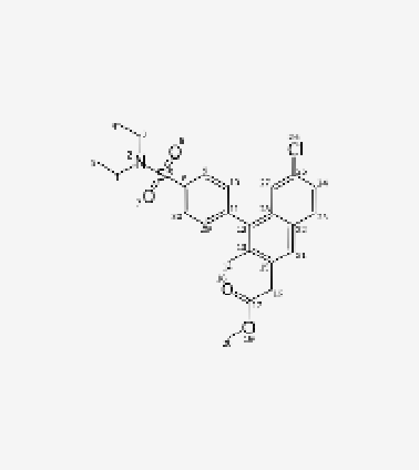 CCN(CC)S(=O)(=O)c1ccc(-c2c(C)c(CC(=O)OC)cc3ccc(Cl)cc23)cc1